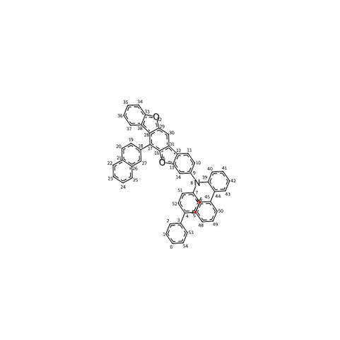 c1ccc(-c2ccc(N(c3ccc4c(c3)oc3c(-c5ccc6ccccc6c5)c5c(cc34)oc3ccccc35)c3ccccc3-c3ccccc3)cc2)cc1